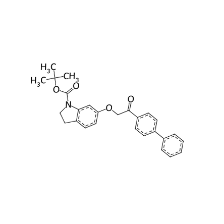 CC(C)(C)OC(=O)N1CCc2ccc(OCC(=O)c3ccc(-c4ccccc4)cc3)cc21